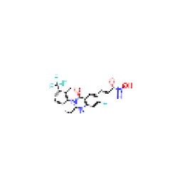 CCc1nc2cc(F)c(/C=C/C(=O)NO)cc2c(=O)n1-c1cccc(C(F)(F)F)c1C